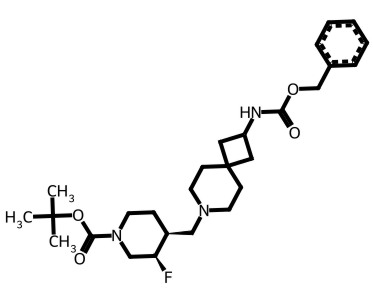 CC(C)(C)OC(=O)N1CC[C@@H](CN2CCC3(CC2)CC(NC(=O)OCc2ccccc2)C3)[C@@H](F)C1